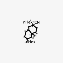 CCCCCC[C@H]1CCC2C[C@](C#N)(CCCCCC)CC[C@@H]2C1